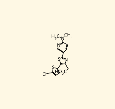 CN(C)c1ccc(-c2nc(CC(=O)O)c(-c3ccc(Cl)s3)s2)cn1